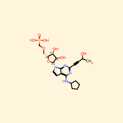 CC(O)C#Cc1nc(NC2CCCC2)c2ccn([C@@H]3O[C@H](COCP(=O)(O)O)[C@@H](O)[C@H]3O)c2n1